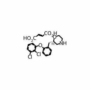 Clc1cccc(Oc2ccccc2C[C@H]2CNCCO2)c1Cl.O=C(O)C=CC(=O)O